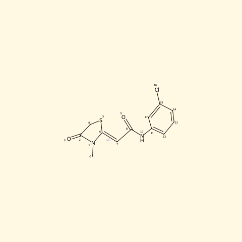 CN1C(=O)CS/C1=C\C(=O)Nc1cccc(Cl)c1